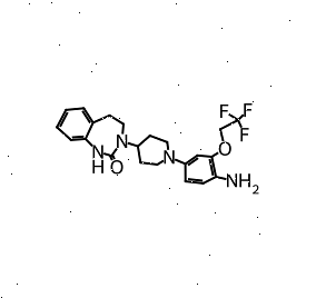 Nc1ccc(N2CCC(N3CCc4ccccc4NC3=O)CC2)cc1OCC(F)(F)F